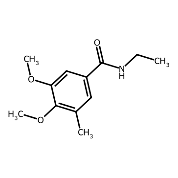 CCNC(=O)c1cc(C)c(OC)c(OC)c1